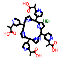 Br.CC(C(=O)O)c1cc(-c2c3nc(c(-c4ccnc(C(C)C(=O)O)c4)c4ccc([nH]4)c(-c4ccnc(C(C)C(=O)O)c4)c4nc(c(-c5ccnc(C(C)C(=O)O)c5)c5ccc2[nH]5)C=C4)C=C3)ccn1